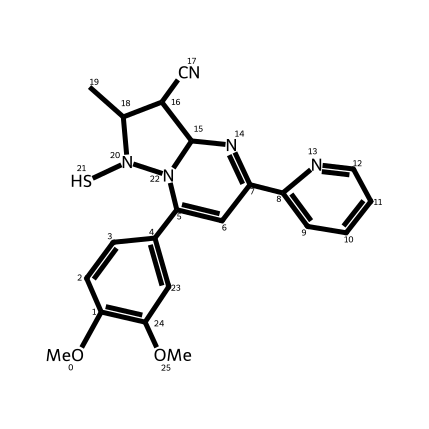 COc1ccc(C2=CC(c3ccccn3)=NC3C(C#N)C(C)N(S)N23)cc1OC